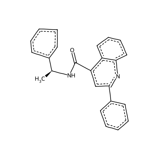 C[C@H](NC(=O)c1cc(-c2ccccc2)nc2ccccc12)c1ccccc1